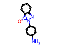 Nc1ccc(-n2nc3ccccc3[n+]2[O-])cc1